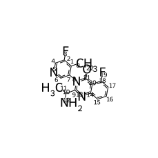 Cc1c(F)cncc1-n1c(C(C)N)nc2cccc(F)c2c1=O